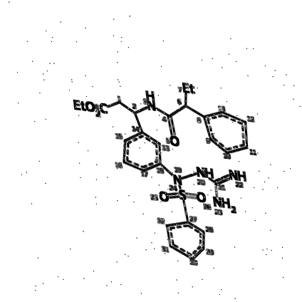 CCOC(=O)CC(NC(=O)C(CC)c1ccccc1)c1cccc(N(NC(=N)N)S(=O)(=O)c2ccccc2)c1